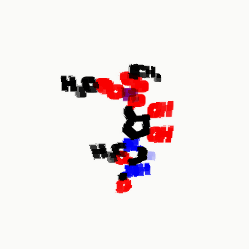 COOP(OCC1CC(N(C)/C=C\C(=O)NC=O)C(O)C1O)OOC